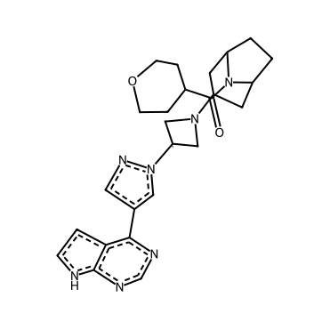 O=C(C1CCOCC1)N1C2CCC1CC(N1C[C](n3cc(-c4ncnc5[nH]ccc45)cn3)C1)C2